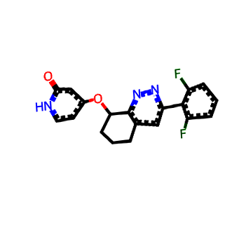 O=c1cc(OC2CCCc3cc(-c4c(F)cccc4F)nnc32)cc[nH]1